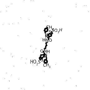 Cc1ccc(Cn2nc(C(=O)NCCCCCCNC(=O)c3nn(Cc4ccc(C)cc4)c4c3Cc3cc(S(=O)(=O)O)sc3-4)c3c2-c2sc(S(=O)(=O)O)cc2C3)cc1